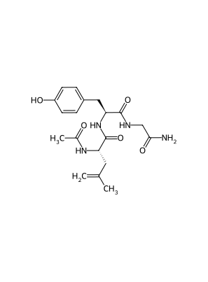 C=C(C)C[C@H](NC(C)=O)C(=O)N[C@@H](Cc1ccc(O)cc1)C(=O)NCC(N)=O